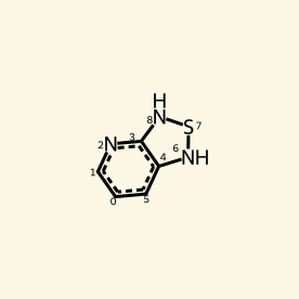 c1cnc2c(c1)NSN2